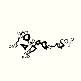 COCCCN1C(=O)COc2ccc(N(C(=O)[C@H]3CN(C(=O)OC(C)(C)C)CC[C@@H]3c3cccc(-c4ccc(OCCCN5CCCC5C(=O)O)cc4)c3)C3CC3)cc21